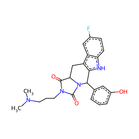 CN(C)CCCN1C(=O)C2Cc3c([nH]c4ccc(F)cc34)C(c3cccc(O)c3)N2C1=O